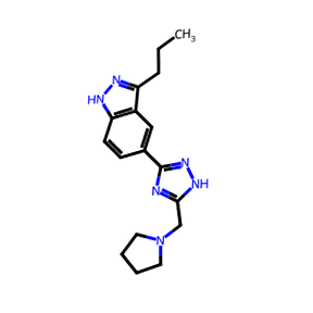 CCCc1n[nH]c2ccc(-c3n[nH]c(CN4CCCC4)n3)cc12